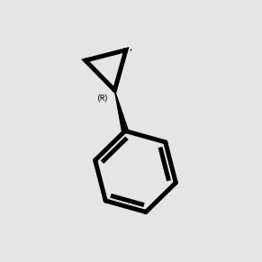 [CH]1C[C@@H]1c1ccccc1